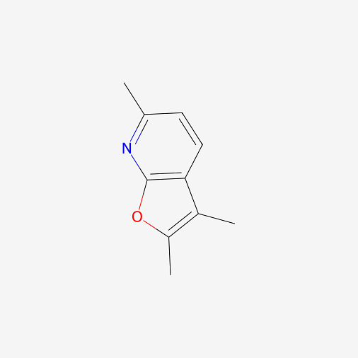 Cc1ccc2c(C)c(C)oc2n1